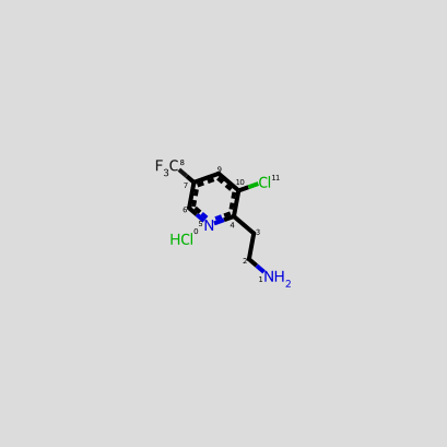 Cl.NCCc1ncc(C(F)(F)F)cc1Cl